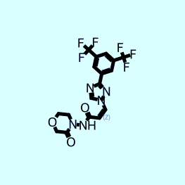 O=C(/C=C\n1cnc(-c2cc(C(F)(F)F)cc(C(F)(F)F)c2)n1)NN1CCOCC1=O